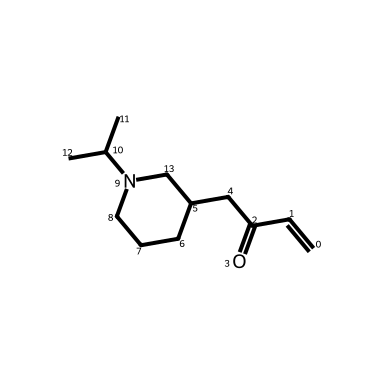 C=CC(=O)CC1CCCN(C(C)C)C1